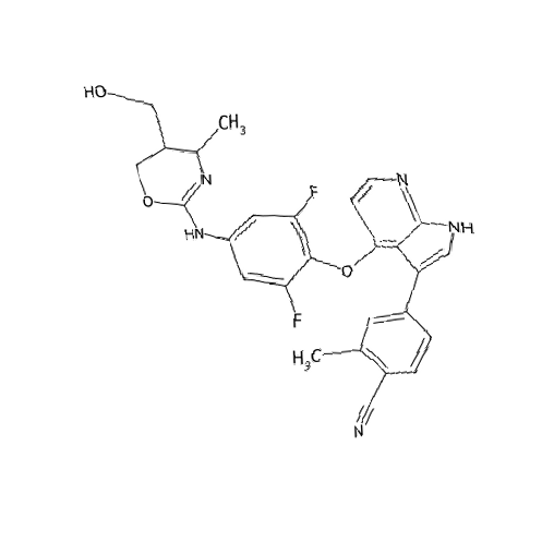 Cc1cc(-c2c[nH]c3nccc(Oc4c(F)cc(NC5=NC(C)C(CO)CO5)cc4F)c23)ccc1C#N